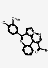 COc1cc(C2=Nc3ccccc3-c3c(C(N)=O)cnn4ccc2c34)ccc1O